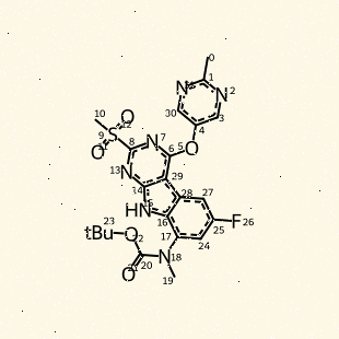 Cc1ncc(Oc2nc(S(C)(=O)=O)nc3[nH]c4c(N(C)C(=O)OC(C)(C)C)cc(F)cc4c23)cn1